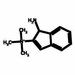 C[N+](C)(C)C1=Cc2ccccc2C1N